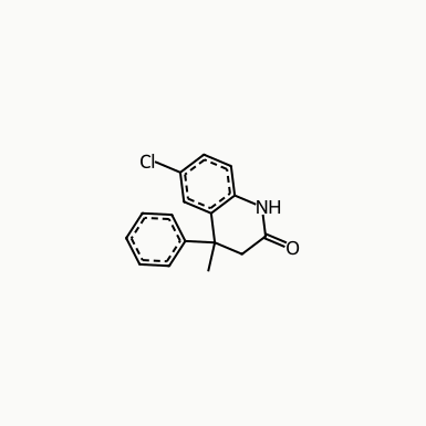 CC1(c2ccccc2)CC(=O)Nc2ccc(Cl)cc21